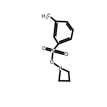 Cc1cccc(S(=O)(=O)ON2CCC2)c1